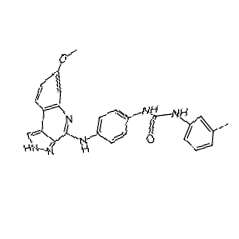 COc1ccc2c(c1)nc(Nc1ccc(NC(=O)Nc3cccc(C)c3)cc1)c1n[nH]cc12